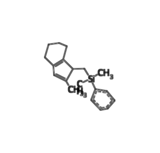 CC1=CC2=C(CCCC2)C1C[Si](C)(C)c1ccccc1